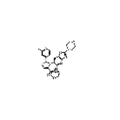 Cc1cc(C2OC=C(C(N)=O)N2c2cc3oc(N4CCOCC4)nc3nc2N2CCOCC2)ccn1